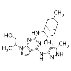 Cc1cc(Nc2nc(NC3C(C)CC4CC(C)CC3C4)nc3c2ccn3C(C)CO)n[nH]1